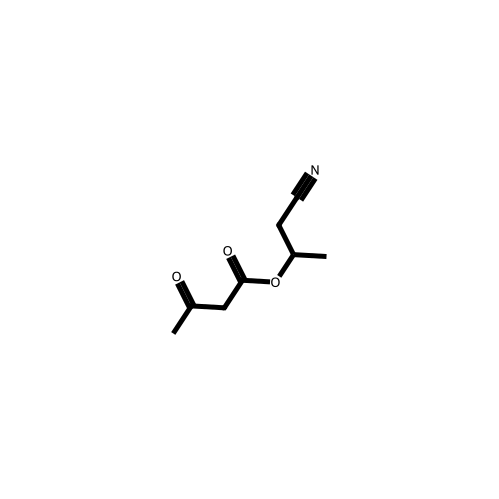 CC(=O)CC(=O)OC(C)CC#N